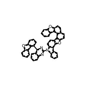 c1ccc2c(-c3cccc4oc5ccccc5c34)nc(-n3c4ccccc4c4c5oc6ccc7ccc8oc9ccccc9c8c7c6c5ccc43)nc2c1